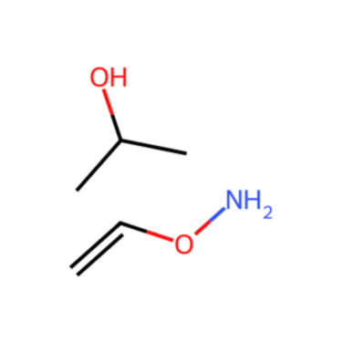 C=CON.CC(C)O